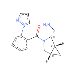 NC[C@@H]1[C@@H]2C[C@@H]2CN1C(=O)c1ccccc1-n1cccn1